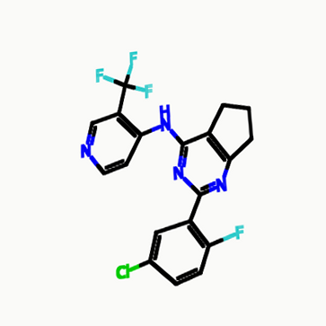 Fc1ccc(Cl)cc1-c1nc2c(c(Nc3ccncc3C(F)(F)F)n1)CCC2